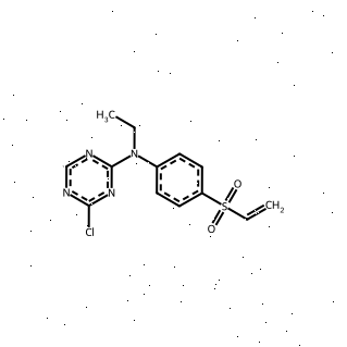 C=CS(=O)(=O)c1ccc(N(CC)c2n[c]nc(Cl)n2)cc1